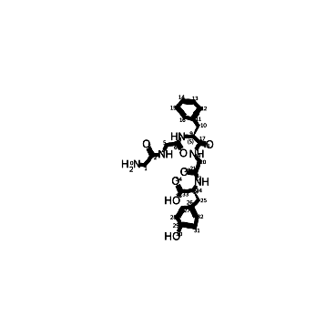 NCC(=O)NCC(=O)N[C@@H](Cc1ccccc1)C(=O)NCC(=O)N[C@@H](Cc1ccc(O)cc1)C(=O)O